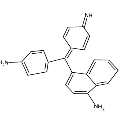 N=C1C=CC(=C(c2ccc(N)cc2)c2ccc(N)c3ccccc23)C=C1